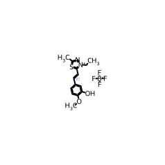 CC[n+]1nc(C)sc1/C=C/c1ccc(OC)c(O)c1.F[B-](F)(F)F